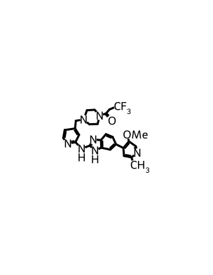 COc1cnc(C)cc1-c1ccc2nc(Nc3cc(CN4CCN(C(=O)CC(F)(F)F)CC4)ccn3)[nH]c2c1